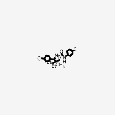 CCC(CC)C1(C)CN(C(=O)Nc2ccc(Cl)cc2)N=C1c1ccc(Cl)cc1